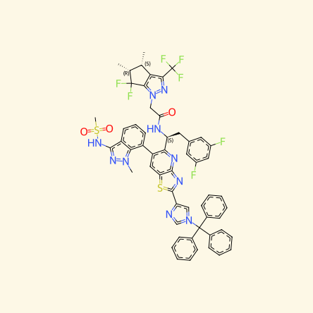 C[C@@H]1c2c(C(F)(F)F)nn(CC(=O)N[C@@H](Cc3cc(F)cc(F)c3)c3nc4nc(-c5cn(C(c6ccccc6)(c6ccccc6)c6ccccc6)cn5)sc4cc3-c3cccc4c(NS(C)(=O)=O)nn(C)c34)c2C(F)(F)[C@@H]1C